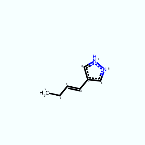 CC/C=C/c1cn[nH]c1